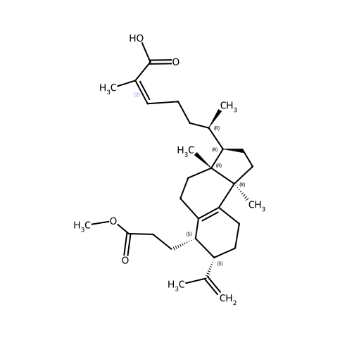 C=C(C)[C@H]1CCC2=C(CC[C@]3(C)[C@@H]([C@H](C)CC/C=C(/C)C(=O)O)CC[C@@]23C)[C@H]1CCC(=O)OC